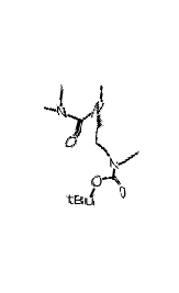 CN(C)C(=O)N(C)CCN(C)C(=O)OC(C)(C)C